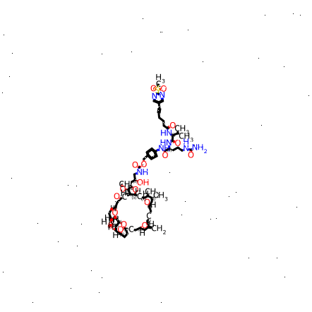 C=C1C[C@@H]2CC[C@]34CC[C@H](O3)C3O[C@H]5CC[C@H](CC(=O)C[C@@H]6[C@@H](OC)[C@@H](C[C@H](O)CNC(=O)OCc7ccc(NC(=O)[C@H](CCCNC(N)=O)NC(=O)[C@@H](NC(=O)CCCC#Cc8cnc(S(C)(=O)=O)nc8)C(C)C)cc7)O[C@H]6C[C@H]6O[C@@H](CC[C@@H]1O2)C[C@@H](C)C6=C)O[C@@H]5[C@H](O4)[C@@H]3C